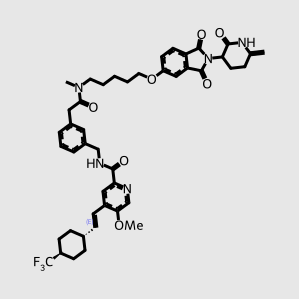 C=C1CCC(N2C(=O)c3ccc(OCCCCCN(C)C(=O)Cc4cccc(CNC(=O)c5cc(/C=C/[C@H]6CC[C@H](C(F)(F)F)CC6)c(OC)cn5)c4)cc3C2=O)C(=O)N1